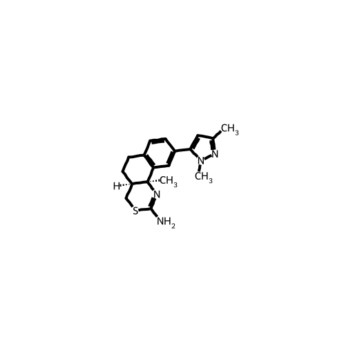 Cc1cc(-c2ccc3c(c2)[C@@]2(C)N=C(N)SC[C@H]2CC3)n(C)n1